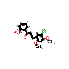 COc1cc(OC)c(C=CC(=O)c2ccccc2O)cc1Br